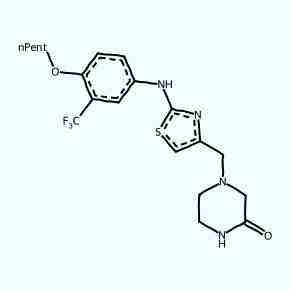 CCCCCOc1ccc(Nc2nc(CN3CCNC(=O)C3)cs2)cc1C(F)(F)F